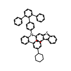 c1ccc(-c2cccc(-c3ccccc3)c2-c2ccc(N(c3ccc4c(c3)sc3ccccc34)c3ccccc3-c3cccc(C4CCCCC4)c3)cc2)cc1